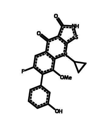 COc1c(-c2cccc(O)c2)c(F)cc2c(=O)c3c(=O)[nH]sc3n(C3CC3)c12